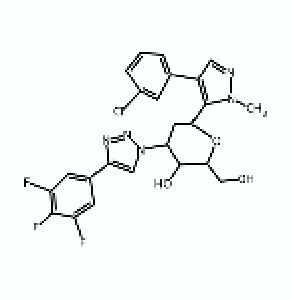 Cn1ncc(-c2cccc(Cl)c2)c1C1CC(n2cc(-c3cc(F)c(F)c(F)c3)nn2)C(O)C(CO)O1